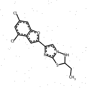 CCC1Nn2cc(-c3cc4c(Cl)cc(Cl)cc4o3)nc2S1